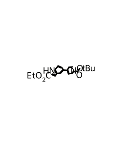 CCOC(=O)c1cc2cc(C3=CCN(C(=O)OC(C)(C)C)CC3)ccc2[nH]1